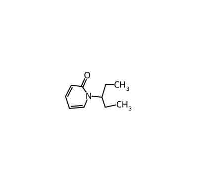 CCC(CC)n1ccccc1=O